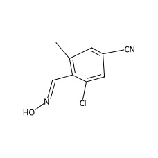 Cc1cc(C#N)cc(Cl)c1/C=N/O